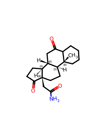 C[C@]12CCCCC1C(=O)C[C@H]1[C@@H]3CCC(=O)[C@@]3(CC(N)=O)CC[C@@H]12